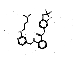 CN(C)CCCNc1cc(CNc2ccccc2C(=O)Nc2ccc3c(c2)OC(F)(F)O3)ccn1